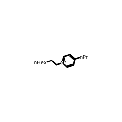 [CH2]CCc1cc[n+](CCCCCCCC)cc1